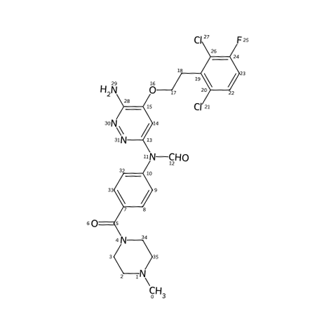 CN1CCN(C(=O)c2ccc(N(C=O)c3cc(OCCc4c(Cl)ccc(F)c4Cl)c(N)nn3)cc2)CC1